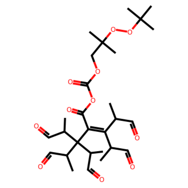 CC(C=O)C(=C(C(=O)OC(=O)OCC(C)(C)OOC(C)(C)C)C(C(C)C=O)(C(C)C=O)C(C)C=O)C(C)C=O